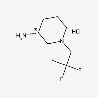 Cl.N[C@@H]1CCCN(CC(F)(F)F)C1